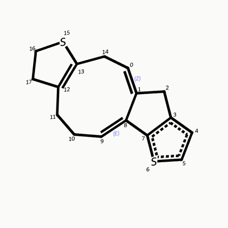 C1=C2/Cc3ccsc3/C2=C/CCC2=C(C/1)SCC2